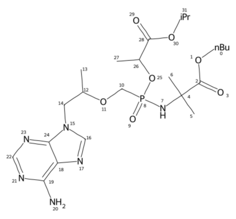 CCCCOC(=O)C(C)(C)NP(=O)(COC(C)Cn1cnc2c(N)ncnc21)OC(C)C(=O)OC(C)C